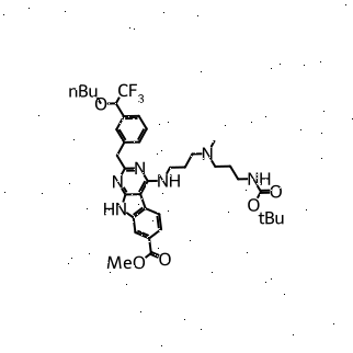 CCCCOC(c1cccc(Cc2nc(NCCCN(C)CCCNC(=O)OC(C)(C)C)c3c(n2)[nH]c2cc(C(=O)OC)ccc23)c1)C(F)(F)F